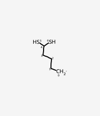 [CH2][CH]CCC(S)S